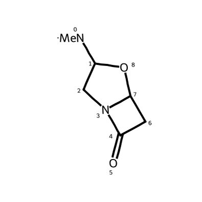 C[N]C1CN2C(=O)CC2O1